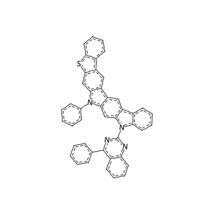 c1ccc(-c2nc(-n3c4ccccc4c4cc5c6cc7c(cc6n(-c6ccccc6)c5cc43)sc3ccccc37)nc3ccccc23)cc1